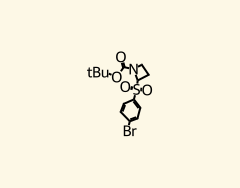 CC(C)(C)OC(=O)N1CCC1S(=O)(=O)c1ccc(Br)cc1